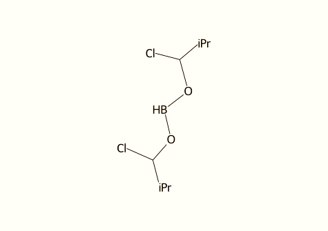 CC(C)C(Cl)OBOC(Cl)C(C)C